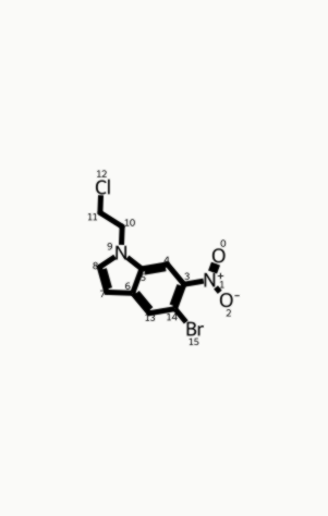 O=[N+]([O-])c1cc2c(ccn2CCCl)cc1Br